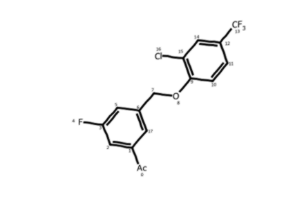 CC(=O)c1cc(F)cc(COc2ccc(C(F)(F)F)cc2Cl)c1